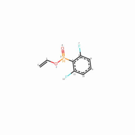 C=CO[PH](=O)c1c(F)cccc1F